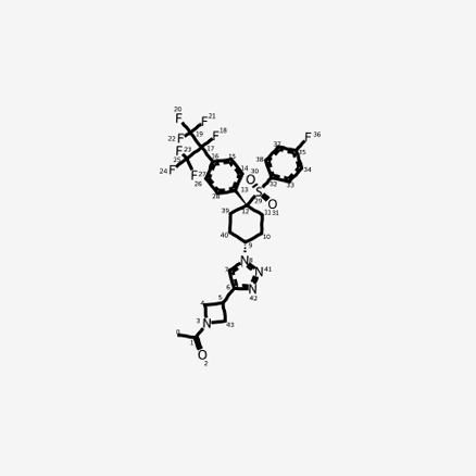 CC(=O)N1CC(c2cn([C@H]3CC[C@@](c4ccc(C(F)(C(F)(F)F)C(F)(F)F)cc4)(S(=O)(=O)c4ccc(F)cc4)CC3)nn2)C1